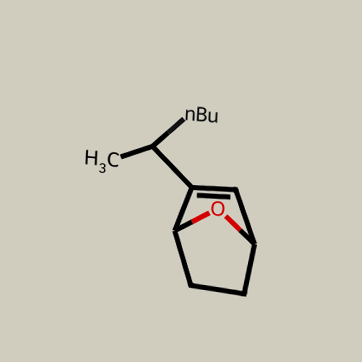 CCCCC(C)C1=CC2CCC1O2